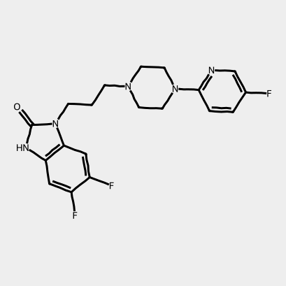 O=c1[nH]c2cc(F)c(F)cc2n1CCCN1CCN(c2ccc(F)cn2)CC1